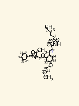 CCCCCS(=O)(=O)NC(=O)/C=C/c1ccc(OCCOC)cc1OCc1nc(-c2ccccc2)oc1C